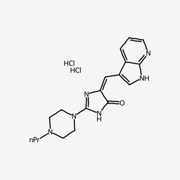 CCCN1CCN(C2=NC(=Cc3c[nH]c4ncccc34)C(=O)N2)CC1.Cl.Cl